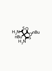 CCCCOC(=O)C(CCCC)(C(N)=S)C(N)=S